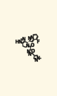 Cn1cc(-c2nnc(C(=O)N3CCc4[nH]cnc4[C@@H]3c3cc4c(F)cccn4n3)o2)cn1